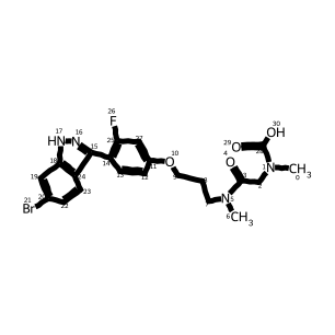 CN(CC(=O)N(C)CCCOc1ccc(-c2n[nH]c3cc(Br)ccc23)c(F)c1)C(=O)O